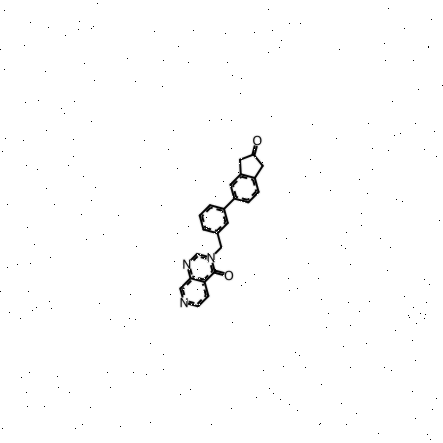 O=C1Cc2ccc(-c3cccc(Cn4cnc5cnccc5c4=O)c3)cc2C1